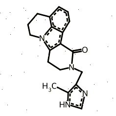 Cc1[nH]cnc1CN1CCc2c(c3cccc4c3n2CCC4)C1=O